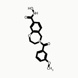 COc1cccc(C(=O)N2CCOc3cc(C(=O)NO)ccc3C2)c1